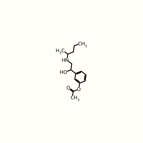 CCCC(C)NCC(O)c1cccc(OC(C)=O)c1